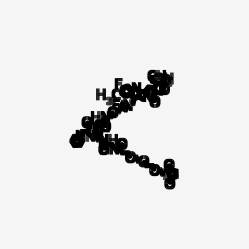 CC[C@@]1(O)C(=O)OCc2c1cc1n(c2=O)Cc2c-1nc1cc(F)c(C)cc1c2CN1CC(F)(COCNC(=O)CNC(=O)C(Cc2ccccc2)NC(=O)CNC(=O)CNC(=O)CCOCCOCCOCCN2C(=O)C=CC2=O)C1